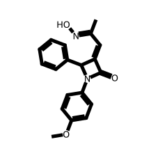 COc1ccc(N2C(=O)/C(=C/C(C)=NO)C2c2ccccc2)cc1